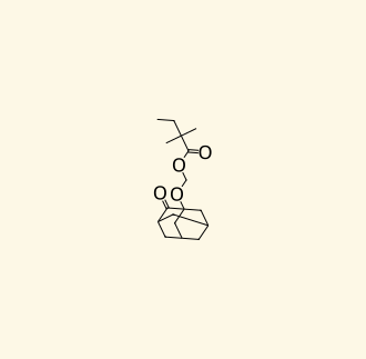 CCC(C)(C)C(=O)OCOC12CC3CC(CC(C3)C1=O)C2